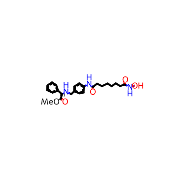 COC(=O)[C@H](NCc1ccc(NC(=O)CCCCCCC(=O)NO)cc1)c1ccccc1